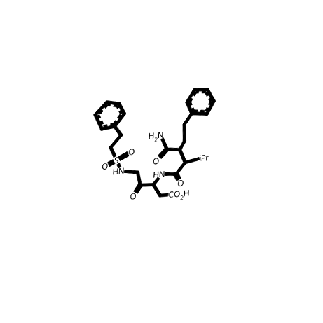 CC(C)C(C(=O)NC(CC(=O)O)C(=O)CNS(=O)(=O)CCc1ccccc1)C(CCc1ccccc1)C(N)=O